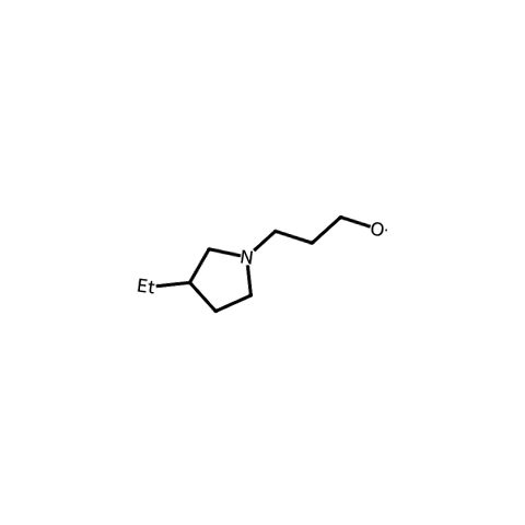 CCC1CCN(CCC[O])C1